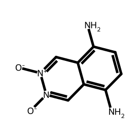 Nc1ccc(N)c2c[n+]([O-])[n+]([O-])cc12